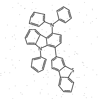 c1ccc(N(c2ccccc2)c2ccc(-c3ccc4c(c3)sc3ccccc34)c3c2c2ccccc2n3-c2ccccc2)cc1